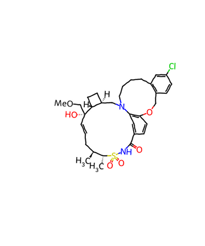 COC[C@]1(O)/C=C/C[C@H](C)[C@@H](C)S(=O)(=O)NC(=O)c2ccc3c(c2)N(CCCCc2cc(Cl)ccc2CO3)C[C@@H]2CC[C@H]21